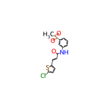 CS(=O)(=O)c1cccc(NC(=O)/C=C/c2ccc(Cl)s2)c1